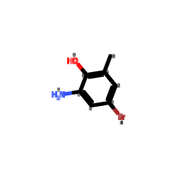 Cc1cc(Br)cc(N)c1O